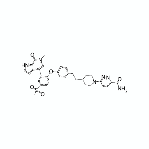 Cn1cc(-c2cc(S(C)(=O)=O)ccc2Oc2ccc(CCC3CCN(c4ccc(C(N)=O)nn4)CC3)cc2)c2cc[nH]c2c1=O